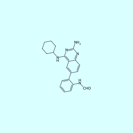 Nc1nc(NC2CCCCC2)c2cc(-c3ccccc3NC=O)ccc2n1